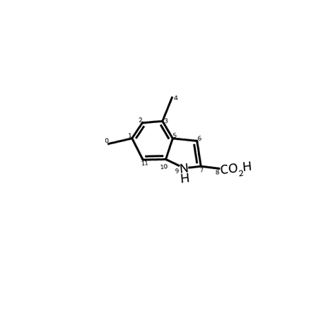 Cc1cc(C)c2cc(C(=O)O)[nH]c2c1